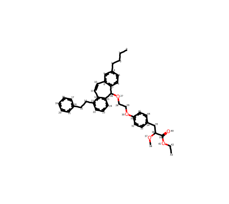 CCCCc1ccc2c(c1)C=Cc1c(CCc3ccccc3)cccc1C2OCCOc1ccc(CC(OC)C(=O)OCC)cc1